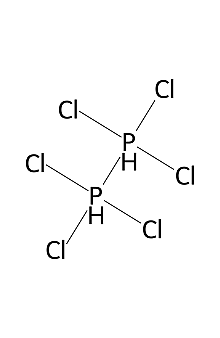 Cl[PH](Cl)(Cl)[PH](Cl)(Cl)Cl